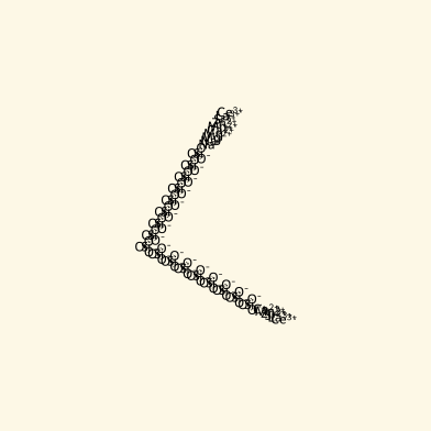 O=[Si]([O-])[O-].O=[Si]([O-])[O-].O=[Si]([O-])[O-].O=[Si]([O-])[O-].O=[Si]([O-])[O-].O=[Si]([O-])[O-].O=[Si]([O-])[O-].O=[Si]([O-])[O-].O=[Si]([O-])[O-].O=[Si]([O-])[O-].O=[Si]([O-])[O-].O=[Si]([O-])[O-].O=[Si]([O-])[O-].O=[Si]([O-])[O-].O=[Si]([O-])[O-].O=[Si]([O-])[O-].O=[Si]([O-])[O-].[Ca+2].[Ca+2].[Ce+3].[Ce+3].[La+3].[La+3].[Mg+2].[Mg+2].[Mn+2].[Mn+2].[Na+].[Na+].[Sr+2].[Sr+2].[Zn+2].[Zn+2]